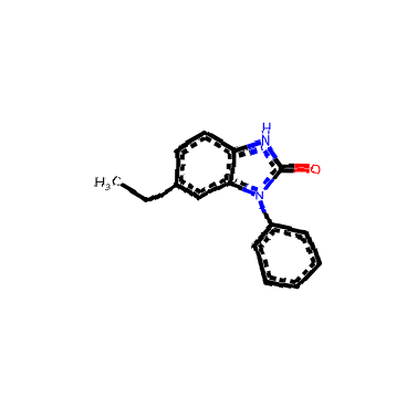 CCc1ccc2[nH]c(=O)n(-c3ccccc3)c2c1